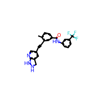 Cc1ccc(C(=O)Nc2cccc(C(F)(F)F)c2)cc1C#Cc1cnc2c(c1)CNN2